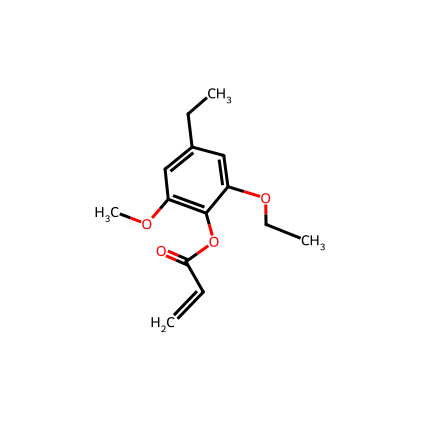 C=CC(=O)Oc1c(OC)cc(CC)cc1OCC